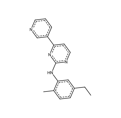 CCc1ccc(C)c(Nc2nccc(-c3cccnc3)n2)c1